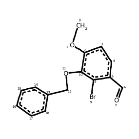 COc1ccc(C=O)c(Br)c1OCc1ccccc1